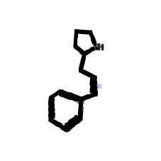 C(=C/c1ccccc1)/CC1CCCN1